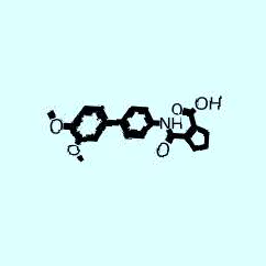 COc1ccc(-c2ccc(NC(=O)C3=C(C(=O)O)CCC3)cc2)cc1OC